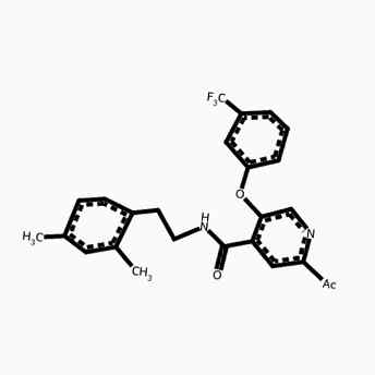 CC(=O)c1cc(C(=O)NCCc2ccc(C)cc2C)c(Oc2cccc(C(F)(F)F)c2)cn1